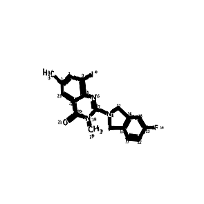 Cc1cc(I)c2nc(N3Cc4ccc(F)cc4C3)n(C)c(=O)c2c1